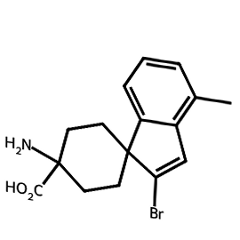 Cc1cccc2c1C=C(Br)C21CCC(N)(C(=O)O)CC1